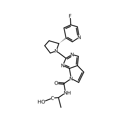 CC(CO)NC(=O)n1ccc2cnc(N3CCC[C@@H]3c3cncc(F)c3)nc21